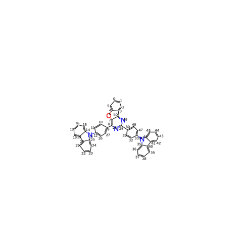 c1ccc2c(c1)oc1c(-c3ccc(-n4c5ccccc5c5ccccc54)cc3)nc(-c3ccc(-n4c5ccccc5c5ccccc54)cc3)nc12